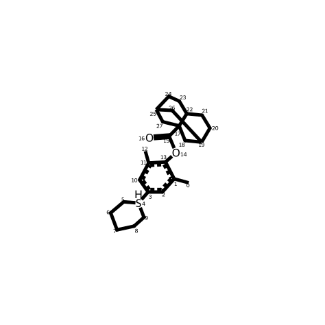 Cc1cc([SH]2CCCCC2)cc(C)c1OC(=O)C12CC3CCC1CCC(C3)C2